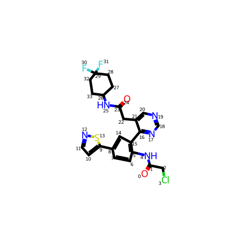 O=C(CCl)Nc1ccc(-c2ccns2)cc1-c1ncncc1CC(=O)NC1CCC(F)(F)CC1